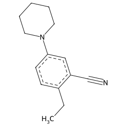 CCc1ccc(N2CCCCC2)cc1C#N